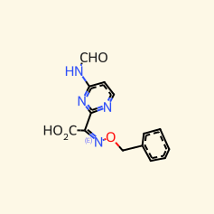 O=CNc1ccnc(/C(=N\OCc2ccccc2)C(=O)O)n1